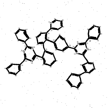 c1ccc(-c2cccc(-c3nc(-c4ccccc4)nc(-c4ccc(-c5c(-c6ccccn6)cccc5-c5ccccc5-c5nc(-c6ccccc6)nc(-c6ccccc6)n5)cc4)n3)c2)cc1